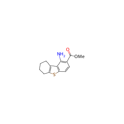 COC(=O)c1ccc2sc3c(c2c1N)CCCC3